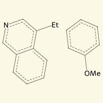 CCc1cncc2ccccc12.COc1ccccc1